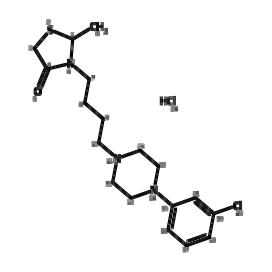 CC1SCC(=O)N1CCCCN1CCN(c2cccc(Cl)c2)CC1.Cl